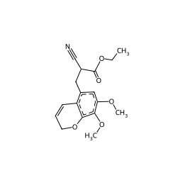 CCOC(=O)C(C#N)Cc1cc(OC)c(OC)c2c1C=CCO2